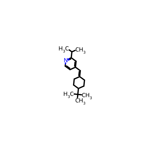 CC(C)c1cc(C=C2CCC(C(C)(C)C)CC2)ccn1